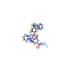 NC(=O)c1cnc2c(NC(=O)c3cc(C4N=CC=CN4)c(C(F)(F)F)cc3F)n(-c3ccccc3)nc2c1